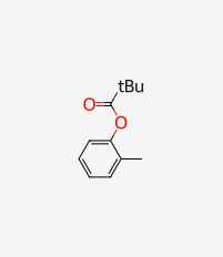 Cc1ccccc1OC(=O)C(C)(C)C